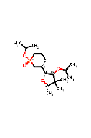 CC(C)O[C@@H]1[C@@H]([C@H]2CCC[P@](=O)(OC(C)C)C2)O[C@@H](C)C1(C)C